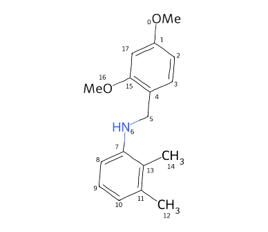 COc1ccc(CNc2cccc(C)c2C)c(OC)c1